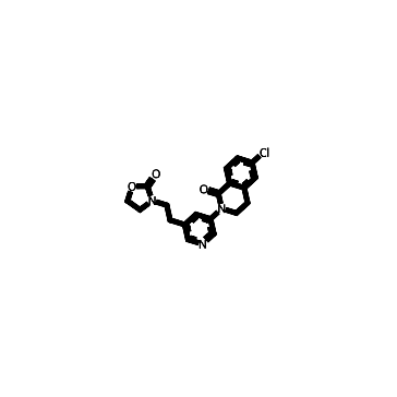 O=C1OCCN1CCc1cncc(N2CCc3cc(Cl)ccc3C2=O)c1